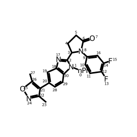 CCCn1c(C2CCC(=O)N2c2ccc(F)c(F)c2)nc2cc(-c3c(C)noc3C)ccc21